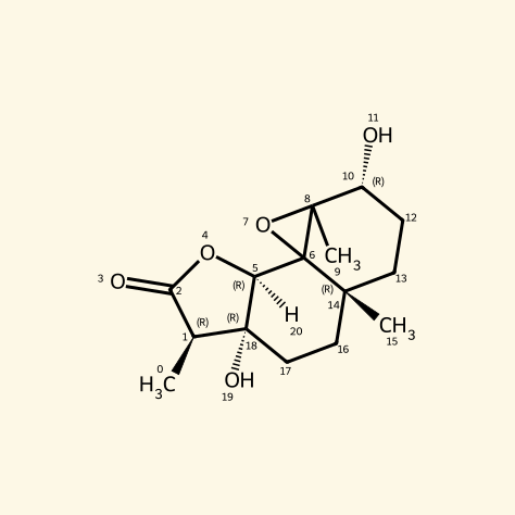 C[C@H]1C(=O)O[C@H]2C34OC3(C)[C@H](O)CC[C@]4(C)CC[C@@]12O